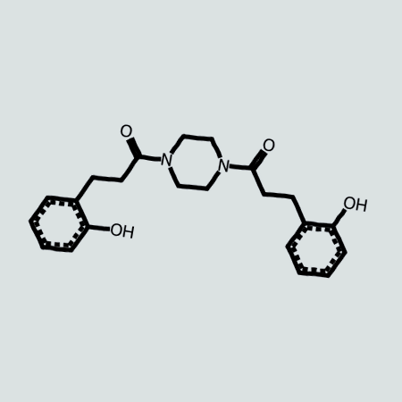 O=C(CCc1ccccc1O)N1CCN(C(=O)CCc2ccccc2O)CC1